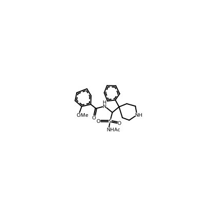 COc1ccccc1C(=O)NC(C1(c2ccccc2)CCNCC1)S(=O)(=O)NC(C)=O